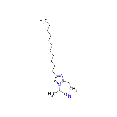 CCCCCCCCCCCc1cn(C(C)C#N)c(CC)n1